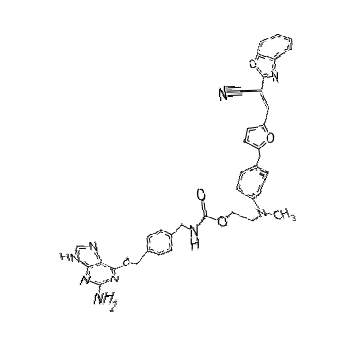 CN(CCOC(=O)NCc1ccc(COc2nc(N)nc3[nH]cnc23)cc1)c1ccc(-c2ccc(/C=C(\C#N)c3nc4ccccc4o3)o2)cc1